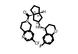 O=C(N1CCc2ncc(C(F)(F)F)cc2C1)[C@@]12CCC[C@@H]1C[C@@H](N[C@H]1CCOc3ccc(F)cc31)C2